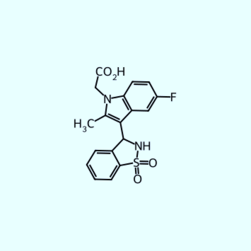 Cc1c(C2NS(=O)(=O)c3ccccc32)c2cc(F)ccc2n1CC(=O)O